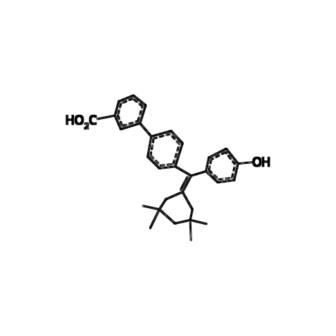 CC1(C)CC(=C(c2ccc(O)cc2)c2ccc(-c3cccc(C(=O)O)c3)cc2)CC(C)(C)C1